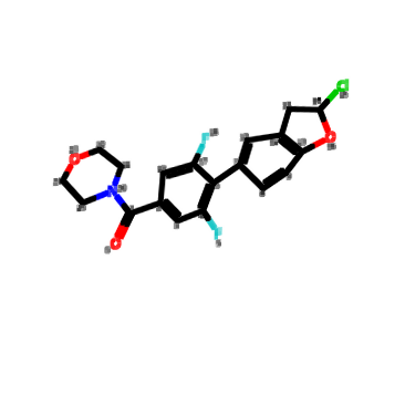 O=C(c1cc(F)c(-c2ccc3c(c2)CC(Cl)O3)c(F)c1)N1CCOCC1